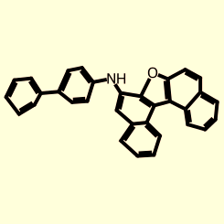 c1ccc(-c2ccc(Nc3cc4ccccc4c4c3oc3ccc5ccccc5c34)cc2)cc1